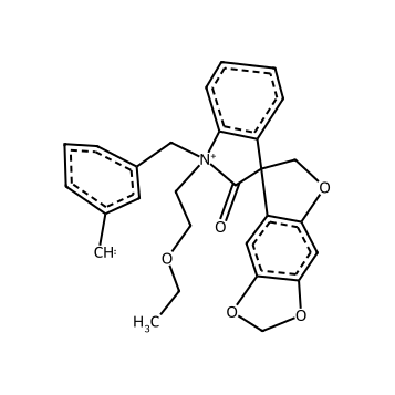 [CH]c1cccc(C[N+]2(CCOCC)C(=O)C3(COc4cc5c(cc43)OCO5)c3ccccc32)c1